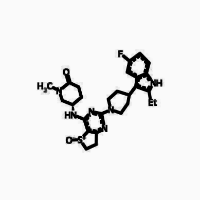 CCc1[nH]c2ccc(F)cc2c1C1CCN(c2nc3c(c(N[C@H]4CCC(=O)N(C)C4)n2)[S+]([O-])CC3)CC1